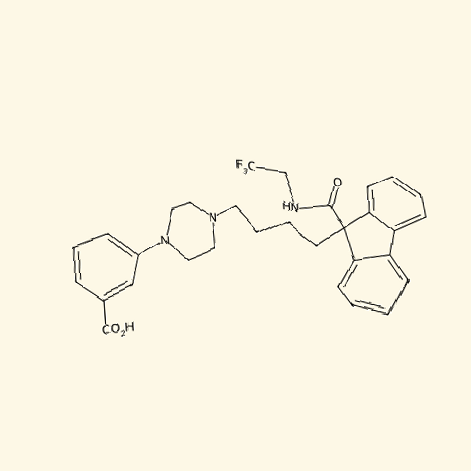 O=C(O)c1cccc(N2CCN(CCCCC3(C(=O)NCC(F)(F)F)c4ccccc4-c4ccccc43)CC2)c1